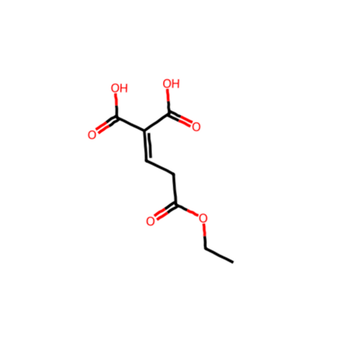 CCOC(=O)CC=C(C(=O)O)C(=O)O